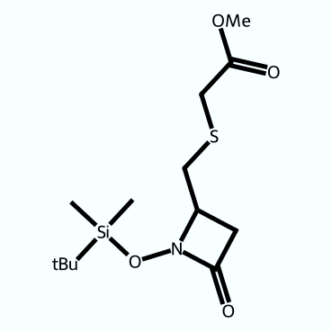 COC(=O)CSCC1CC(=O)N1O[Si](C)(C)C(C)(C)C